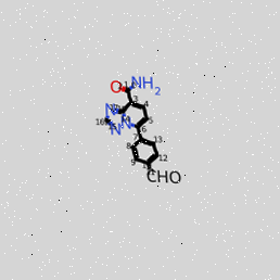 NC(=O)c1ccc(-c2ccc(C=O)cc2)n2n[c]nc12